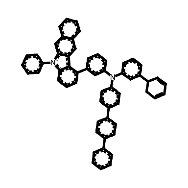 C1=CCC(c2cccc(N(c3ccc(-c4ccc(-c5ccccc5)cc4)cc3)c3cccc(-c4cccc5c4c4cc6ccccc6cc4n5-c4ccccc4)c3)c2)C=C1